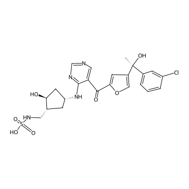 C[C@](O)(c1cccc(Cl)c1)c1coc(C(=O)c2cncnc2N[C@@H]2C[C@H](CNS(=O)(=O)O)[C@@H](O)C2)c1